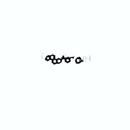 C1=CC=CNC=C1.COc1cccc(C(=O)C2C=c3c(ccc4c3=CCc3cc(F)ccc3-4)CC2)c1